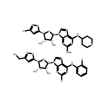 CCc1cc([C@H]2O[C@@H](n3cnc4c(NC5CCOCC5)nc(OC)nc43)[C@H](O)[C@@H]2O)on1.OCc1cc([C@H]2O[C@@H](n3cnc4c(Nc5ccccc5F)nc(Cl)nc43)[C@H](O)[C@@H]2O)on1